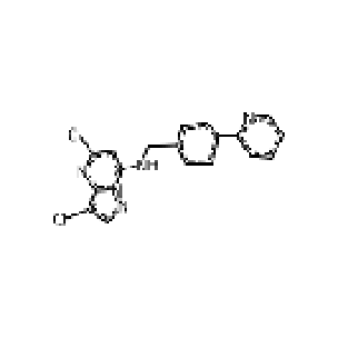 Clc1cc(NCc2ccc(-c3ccccn3)cc2)n2ncc(Cl)c2n1